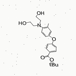 Cc1cc(Oc2ccc(C(=O)OC(C)(C)C)cc2)ccc1N(CCO)CCO